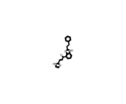 O=C(C=Cc1ncc[nH]1)c1cccc2[nH]c(CCc3ccccc3)nc12